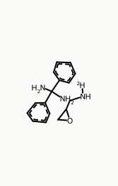 NC(N)(c1ccccc1)c1ccccc1.[2H]NCC1CO1